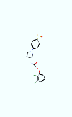 C[C@@H](Oc1cccc(Cl)c1Cl)C(=O)N[C@H]1CCN(c2ccc([SH](=O)=O)cc2)C1